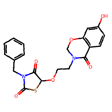 O=C1c2ccc(O)cc2OCN1CCOC1SC(=O)N(Cc2ccccc2)C1=O